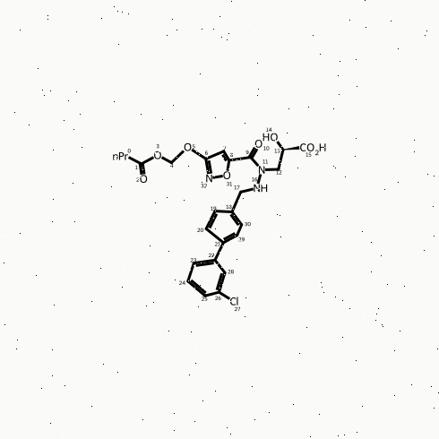 CCCC(=O)OCOc1cc(C(=O)N(C[C@@H](O)C(=O)O)NCc2ccc(-c3cccc(Cl)c3)cc2)on1